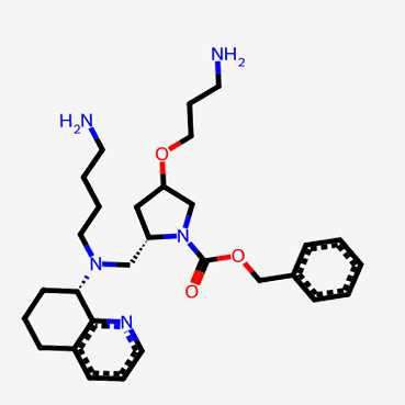 NCCCCN(C[C@@H]1CC(OCCCN)CN1C(=O)OCc1ccccc1)[C@H]1CCCc2cccnc21